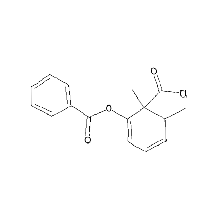 CC1C=CC=C(OC(=O)c2ccccc2)C1(C)C(=O)Cl